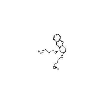 CCCCOc1ccc2cc3ccccc3cc2c1OCCCC